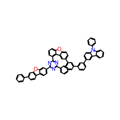 c1ccc(-c2ccc3c(c2)oc2cc(-c4nc(-c5ccccc5)nc(-c5cccc6oc7ccc(-c8cccc(-c9cccc(-c%10ccc%11c(c%10)c%10ccccc%10n%11-c%10ccccc%10)c9)c8)cc7c56)n4)ccc23)cc1